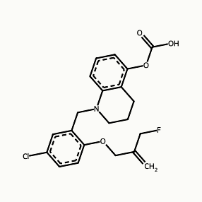 C=C(CF)COc1ccc(Cl)cc1CN1CCCc2c(OC(=O)O)cccc21